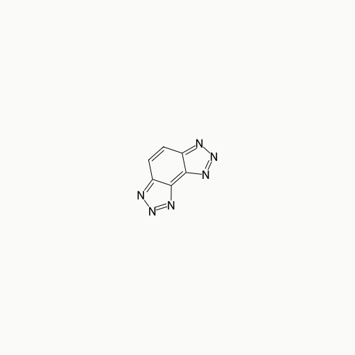 c1cc2c(c3c1=NN=N3)N=NN=2